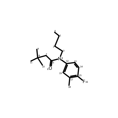 CCCCN(C(=O)CC(C)(C)C)c1ccc(F)c(C)c1